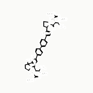 COC(=O)N[C@H](C(=O)N1CCCC1c1ncc(-c2ccc(-c3ccc(-c4cnc(C5(C)CCCN5C(=O)[C@@H](NC(=O)OC)[C@@H](C)OC)[nH]4)cc3)cc2)[nH]1)[C@@H](C)OC